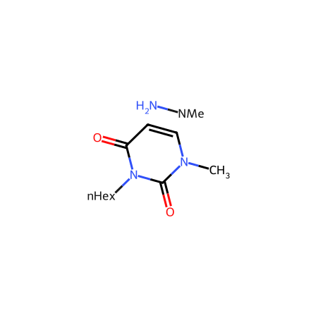 CCCCCCn1c(=O)ccn(C)c1=O.CNN